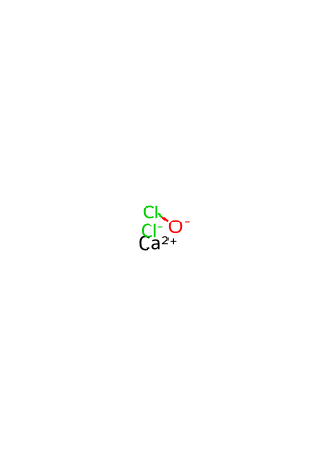 [Ca+2].[Cl-].[O-]Cl